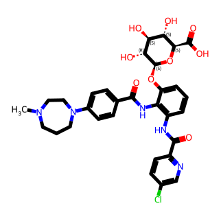 CN1CCCN(c2ccc(C(=O)Nc3c(NC(=O)c4ccc(Cl)cn4)cccc3O[C@@H]3O[C@H](C(=O)O)[C@@H](O)[C@H](O)[C@H]3O)cc2)CC1